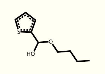 CCCCOC(O)c1cccs1